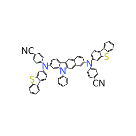 N#Cc1ccc(N(c2ccc3cc4c5ccc(N(c6ccc(C#N)cc6)c6ccc7c(c6)sc6ccccc67)cc5n(-c5ccccc5)c4cc3c2)c2ccc3c(c2)sc2ccccc23)cc1